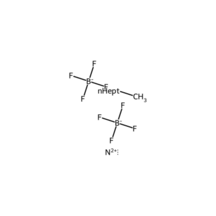 CCCCCCCC.F[B-](F)(F)F.F[B-](F)(F)F.[N+2]